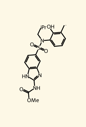 [CH2]c1cccc(N(CC(C)C)S(=O)(=O)c2ccc3[nH]c(NC(=O)OC)nc3c2)c1O